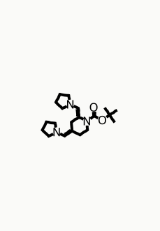 CC(C)(C)OC(=O)N1CCC(=CN2CCCC2)CC1=CN1CCCC1